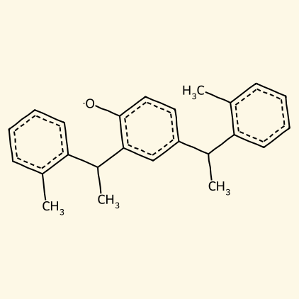 Cc1ccccc1C(C)c1ccc([O])c(C(C)c2ccccc2C)c1